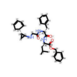 CC(C)C[C@@H](NC(=O)[C@@H](Cc1ccccc1)NC(=O)CNC1C[C@@H]1C1C=CC=CC1)C(=O)OCc1ccccc1